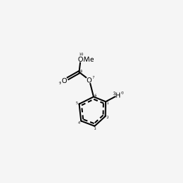 [3H]c1ccccc1OC(=O)OC